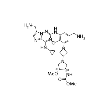 COC(=O)N[C@H]1CN(C2CN(c3cc(CN)cc(Nc4nc(NC5CC5)c5ncc(CN)n5n4)c3Cl)C2)C[C@H]1OC